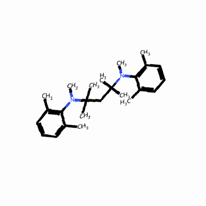 Cc1cccc(C)c1N(C)C(C)(C)CC(C)(C)N(C)c1c(C)cccc1C